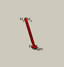 C=C(C)C(=O)OCCOCCOCCOCCOCCOCCOCCOCCOCCOCCOCCOCCOCCOCCOCCOCCOCCOCCOCCOCCOCCOCCOCCOCCOCCOc1c(C(C)c2ccccc2)cc(CCCCCCCCCCCC)cc1C(C)c1ccccc1